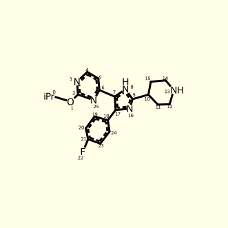 CC(C)Oc1nccc(-c2[nH]c(C3CCNCC3)nc2-c2ccc(F)cc2)n1